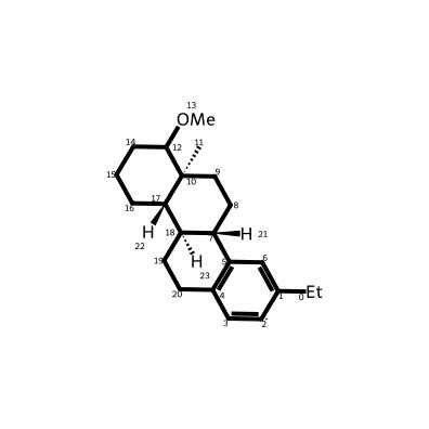 CCc1[c]cc2c(c1)[C@H]1CC[C@]3(C)C(OC)CCC[C@H]3[C@@H]1CC2